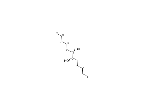 CCCCCC(O)C(O)CCCCC